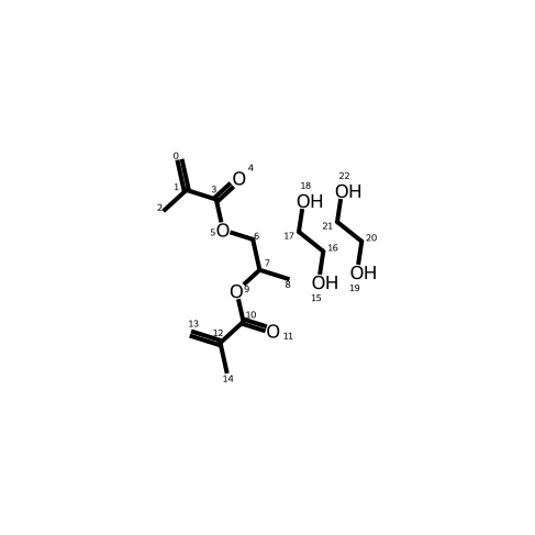 C=C(C)C(=O)OCC(C)OC(=O)C(=C)C.OCCO.OCCO